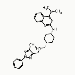 Cc1nn(-c2ccccc2)nc1CNC[C@H]1CC[C@@H](Nc2nc(N(C)C)c3ccccc3n2)CC1